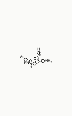 CC(=O)c1ccc(NC(=O)Nc2ccc3c(c2)C(=O)N(CCc2c[nH]cn2)C(c2ccc(N)cc2)C3)cc1